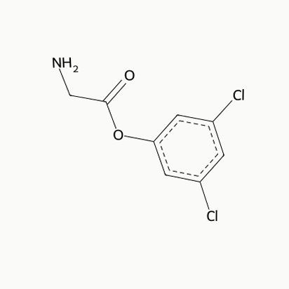 NCC(=O)Oc1cc(Cl)cc(Cl)c1